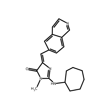 CN1C(=O)/C(=C/c2ccc3cnccc3c2)N=C1NC1CCCCCC1